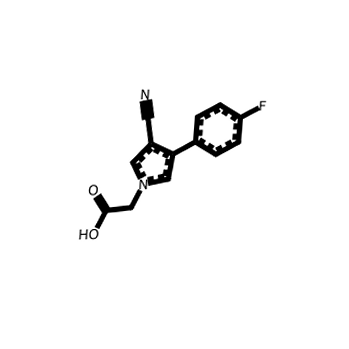 N#Cc1cn(CC(=O)O)cc1-c1ccc(F)cc1